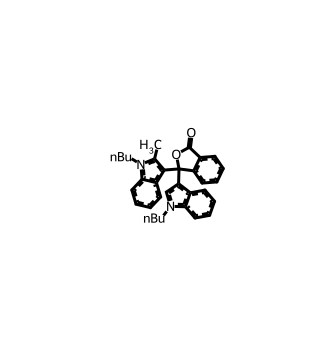 CCCCn1cc(C2(c3c(C)n(CCCC)c4ccccc34)OC(=O)c3ccccc32)c2ccccc21